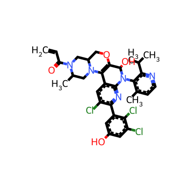 C=CC(=O)N1CC2COC3=C(c4cc(Cl)c(-c5cc(O)cc(Cl)c5Cl)nc4N(c4c(C)ccnc4C(C)C)C3O)N2CC1C